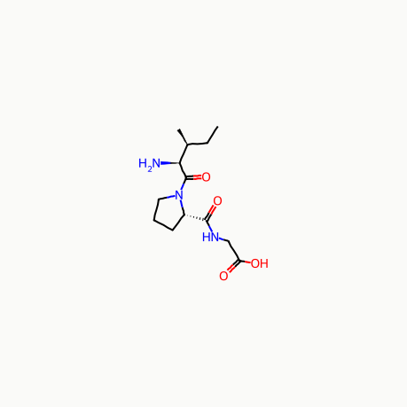 CC[C@H](C)[C@H](N)C(=O)N1CCC[C@H]1C(=O)NCC(=O)O